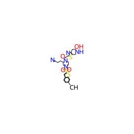 C#Cc1ccc2cc(S(=O)(=O)N3CCN(C(=O)c4nc5c(s4)CNC(O)C5)C(CCC#N)C3)sc2c1